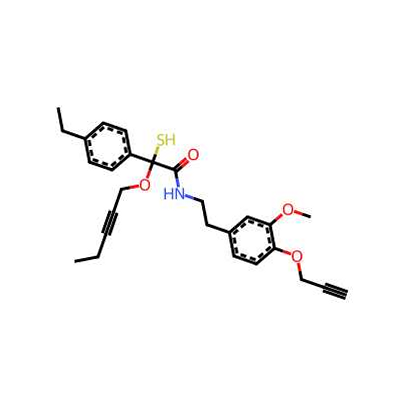 C#CCOc1ccc(CCNC(=O)C(S)(OCC#CCC)c2ccc(CC)cc2)cc1OC